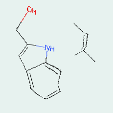 CC=C(C)C.OCc1cc2ccccc2[nH]1